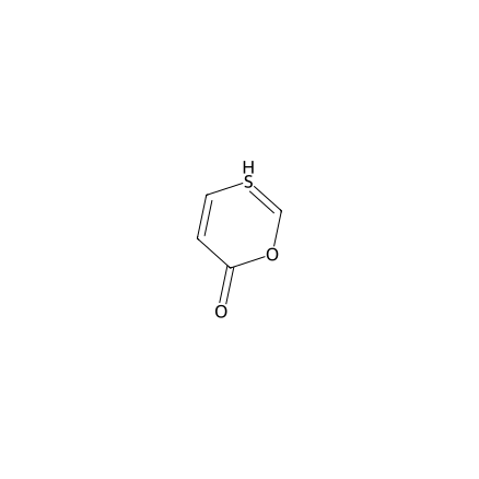 O=C1C=C[SH]=CO1